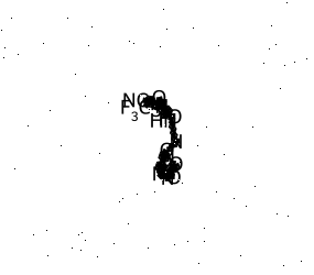 CN(CCCCCCNC(=O)c1ccc(N2C(=S)N(c3ccc(C#N)c(C(F)(F)F)c3)C(=O)C2(C)C)cc1F)CCCOc1ccc(-c2ccc3ncc4c(c3c2)n(C2CCOCC2)c(=O)n4C)cn1